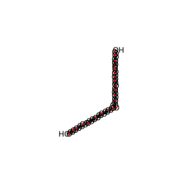 O=S(=O)(OOOOOOOOOOOOOOOOOOOOOOOOOOOOOO)OOOOOOOOOOOOOOOOOOOOOOOOOOOOOOO